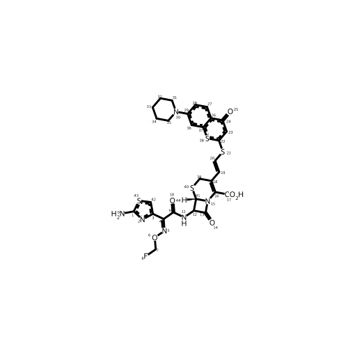 Nc1nc(C(=NOCF)C(=O)NC2C(=O)N3C(C(=O)O)=C(C=CSc4cc(=O)c5ccc(N6CCCCC6)cc5s4)CS[C@@H]23)cs1